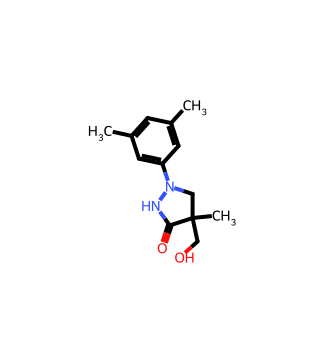 Cc1cc(C)cc(N2CC(C)(CO)C(=O)N2)c1